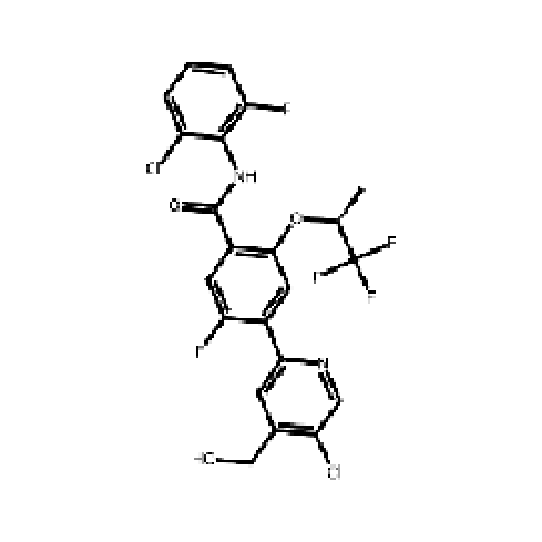 C[C@H](Oc1cc(-c2cc(CO)c(Cl)cn2)c(F)cc1C(=O)Nc1c(F)cccc1Cl)C(F)(F)F